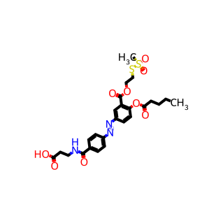 CCCCC(=O)Oc1ccc(/N=N/c2ccc(C(=O)NCCC(=O)O)cc2)cc1C(=O)OCCSS(C)(=O)=O